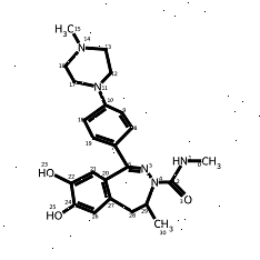 CNC(=O)N1N=C(c2ccc(N3CCN(C)CC3)cc2)c2cc(O)c(O)cc2CC1C